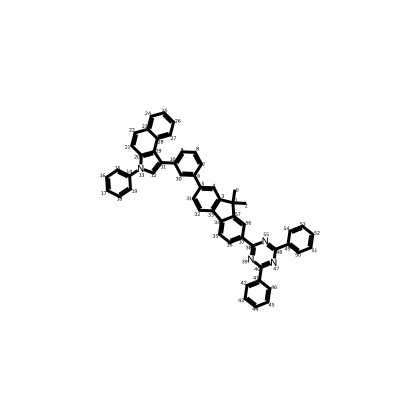 CC1(C)c2cc(-c3cccc(-c4cn(-c5ccccc5)c5ccc6ccccc6c45)c3)ccc2-c2ccc(-c3nc(-c4ccccc4)nc(-c4ccccc4)n3)cc21